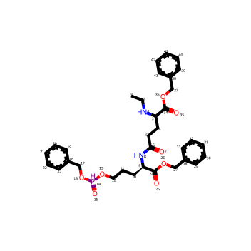 CCNC(CCC(=O)N[C@H](CCCO[PH](=O)OCc1ccccc1)C(=O)OCc1ccccc1)C(=O)OCc1ccccc1